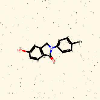 CC(C)c1ccc(N2Cc3cc(O)ccc3C2=O)cc1